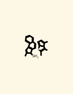 CC1=CC=C2SC(C)=C(C)C12.CC1=Cc2c(ccc3ccccc23)C1[SiH3]